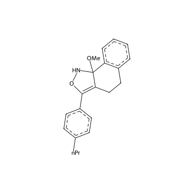 CCCc1ccc(C2=C3CCc4ccccc4C3(OC)NO2)cc1